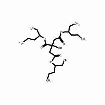 CCCC(CC)OC(=O)CC(O)(CC(=O)OC(CC)CCC)C(=O)OC(CC)CCC